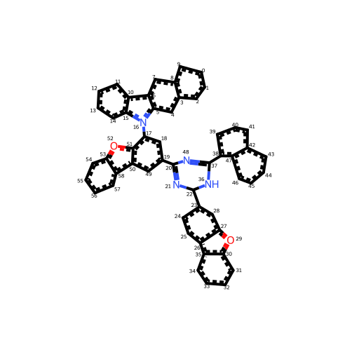 c1ccc2cc3c(cc2c1)c1ccccc1n3-c1cc(C2=NC(c3ccc4c(c3)oc3ccccc34)NC(c3cccc4ccccc34)=N2)cc2c1oc1ccccc12